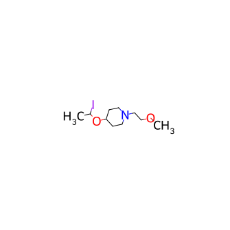 COCCN1CCC(OC(C)I)CC1